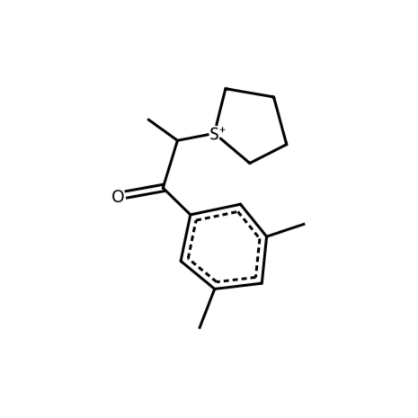 Cc1cc(C)cc(C(=O)C(C)[S+]2CCCC2)c1